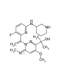 C=C(c1nc(NC2CCCNC2)ccc1F)n1nc(C(C)(C)O)c(OC)c/c1=N/C